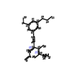 C=C/N=C(C#Cc1cc(CC)cc(CCC)c1)\C(C)=C(/C)N